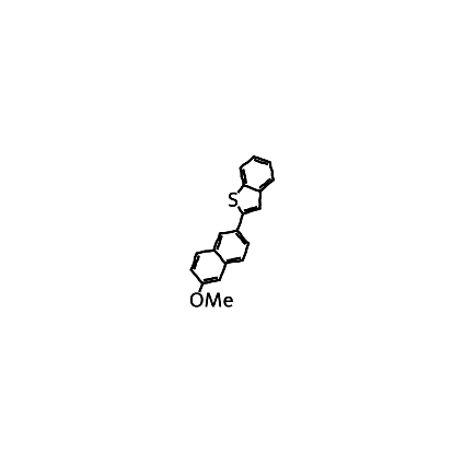 COc1ccc2cc(-c3cc4ccccc4s3)ccc2c1